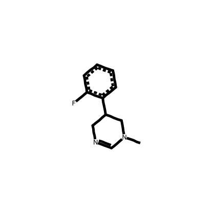 CN1C=NCC(c2ccccc2F)C1